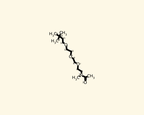 CC(=O)N(C)CCOCCOCCOCCC(C)(C)C